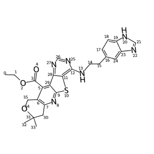 CCOC(=O)c1c2c(nc3sc4c(NCCc5ccc6[nH]cnc6c5)ncnc4c13)CC(C)(C)OC2